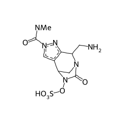 CNC(=O)n1cc2c(n1)C(CN)N1CC2N(OS(=O)(=O)O)C1=O